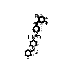 O=C(NC1CCN(C(=O)C2CCCCC2)CC1)N1CCC(=Cc2cc(F)ccc2F)CC1